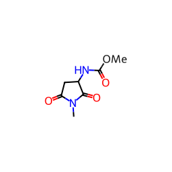 COC(=O)NC1CC(=O)N(C)C1=O